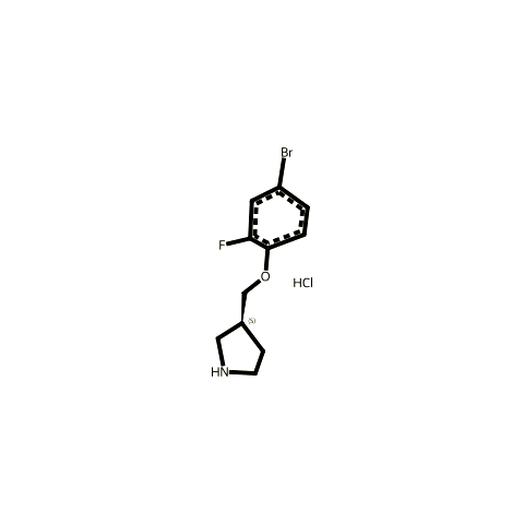 Cl.Fc1cc(Br)ccc1OC[C@H]1CCNC1